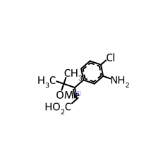 COC(C)(C)/C(=C\C(=O)O)c1ccc(Cl)c(N)c1